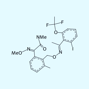 CNC(=O)/C(=N/OC)c1cccc(C)c1CO/N=C(\C)c1c(I)cccc1OC(C)(F)F